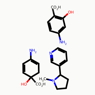 CN1CCCC1c1cccnc1.NC1=CCC(O)(C(=O)O)C=C1.Nc1ccc(C(=O)O)c(O)c1